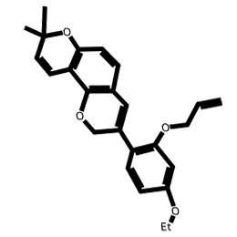 C=CCOc1cc(OCC)ccc1C1=Cc2ccc3c(c2OC1)C=CC(C)(C)O3